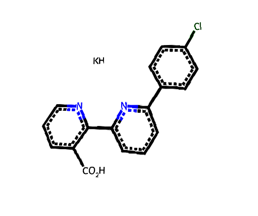 O=C(O)c1cccnc1-c1cccc(-c2ccc(Cl)cc2)n1.[KH]